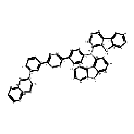 c1cc(-c2ccc(-c3ccc(N(c4cccc5c4oc4ccccc45)c4cccc5sc6ccccc6c45)cc3)cc2)cc(-c2ccc3ccccc3c2)c1